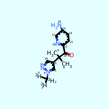 [2H]C([2H])([2H])n1cc(C(C)(C)C(=O)c2ccc(N)cn2)cn1